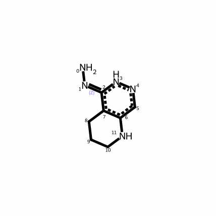 N/N=c1\[nH]ncc2c1CCCN2